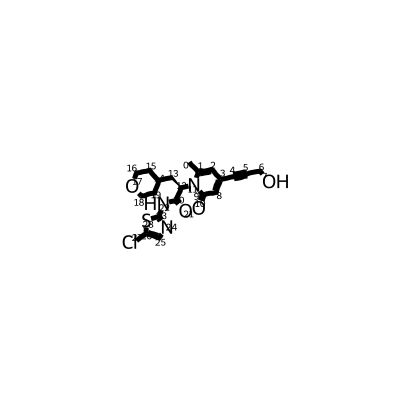 Cc1cc(C#CCO)cc(=O)n1[C@H](CC1CCOCC1)C(=O)Nc1ncc(Cl)s1